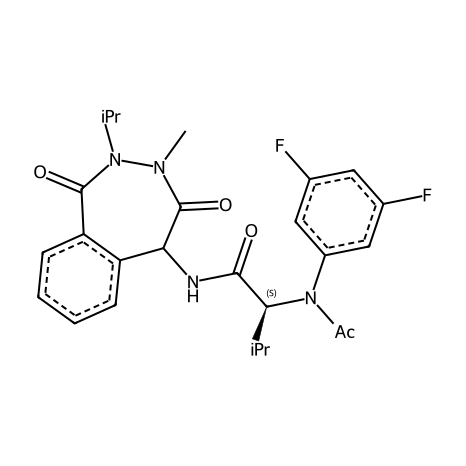 CC(=O)N(c1cc(F)cc(F)c1)[C@H](C(=O)NC1C(=O)N(C)N(C(C)C)C(=O)c2ccccc21)C(C)C